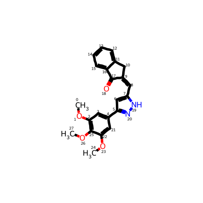 COc1cc(-c2cc(C=C3Cc4ccccc4C3=O)[nH]n2)cc(OC)c1OC